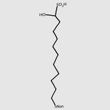 CCCCCCCCCCCCCCCCCCCC(O)S(=O)(=O)O